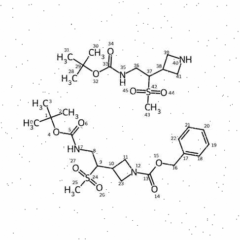 CC(C)(C)OC(=O)NCC(C1CN(C(=O)OCc2ccccc2)C1)S(C)(=O)=O.CC(C)(C)OC(=O)NCC(C1CNC1)S(C)(=O)=O